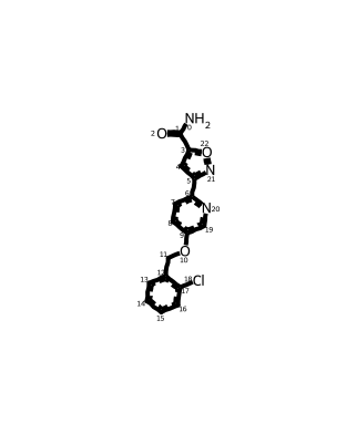 NC(=O)c1cc(-c2ccc(OCc3ccccc3Cl)cn2)no1